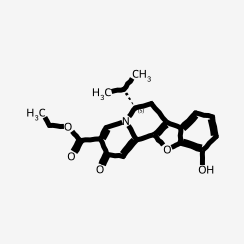 CCOC(=O)c1cn2c(cc1=O)-c1oc3c(O)cccc3c1C[C@H]2C(C)C